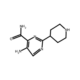 NC(=O)c1nc(C2CCNCC2)ncc1N